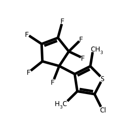 Cc1sc(Cl)c(C)c1C1(F)C(F)C(F)=C(F)C1(F)F